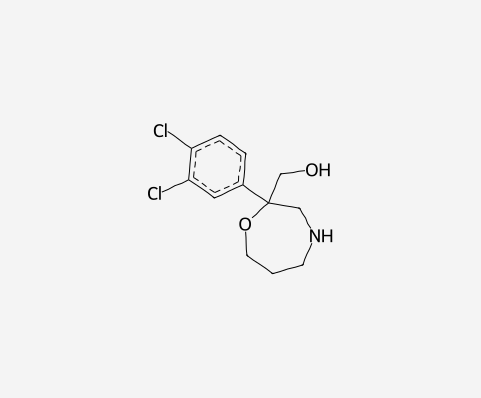 OCC1(c2ccc(Cl)c(Cl)c2)CNCCCO1